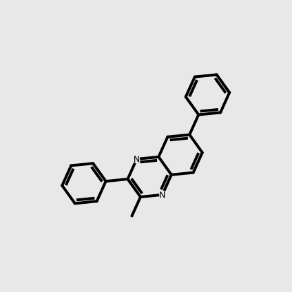 Cc1nc2ccc(-c3ccccc3)cc2nc1-c1ccccc1